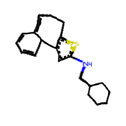 C1=CC2=CCCc3sc(NCC4CCCCC4)cc3C2C=C1